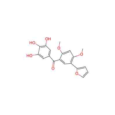 COc1cc(OC)c(-c2ccco2)cc1C(=O)c1cc(O)c(O)c(O)c1